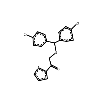 O=C(CSC(c1ccc(Cl)cc1)c1ccc(Cl)cc1)c1cccs1